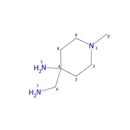 CN1CCC(N)(CN)CC1